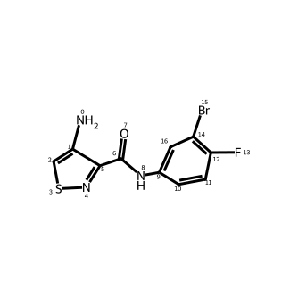 Nc1csnc1C(=O)Nc1ccc(F)c(Br)c1